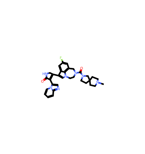 CN1CCC2(CC1)CCN(C(=O)N1CCn3cc(C4=C(c5cnc6ccccn56)C(=O)NC4)c4cc(F)cc(c43)C1)C2